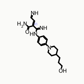 N=C/C=C(/C(=N)Nc1ccc(N2CCC(CCCO)CC2)cc1)C(N)=O